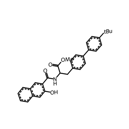 COC(=O)C(Cc1ccc(-c2ccc(C(C)(C)C)cc2)cc1)NC(=O)c1cc2ccccc2cc1O